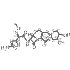 CO/N=C(\C(=O)NC1C(=O)N2C(C(=O)[O-])=C(C[N@+]3(C)CCC(O)[C@H](O)C3)CS[C@@H]12)c1nsc(N)n1